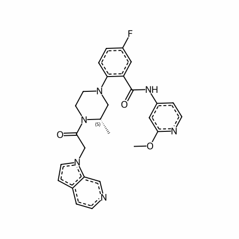 COc1cc(NC(=O)c2cc(F)ccc2N2CCN(C(=O)Cn3ccc4ccncc43)[C@@H](C)C2)ccn1